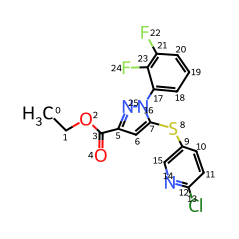 CCOC(=O)c1cc(Sc2ccc(Cl)nc2)n(-c2cccc(F)c2F)n1